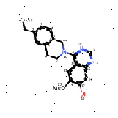 COCc1ccc2c(c1)CCN(c1ncnc3cc(O)c(OC)cc13)C2